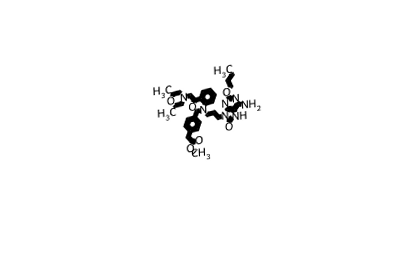 CCCCOc1nc(N)c2[nH]c(=O)n(CCCN(Cc3ccc(CC(=O)OC)cc3)c3ccccc3C(=O)CN3C[C@@H](C)O[C@@H](C)C3)c2n1